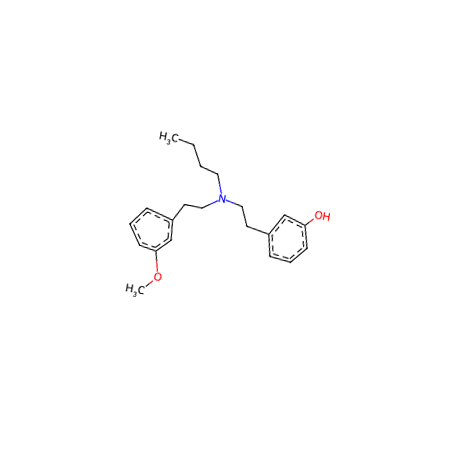 CCCCN(CCc1cccc(O)c1)CCc1cccc(OC)c1